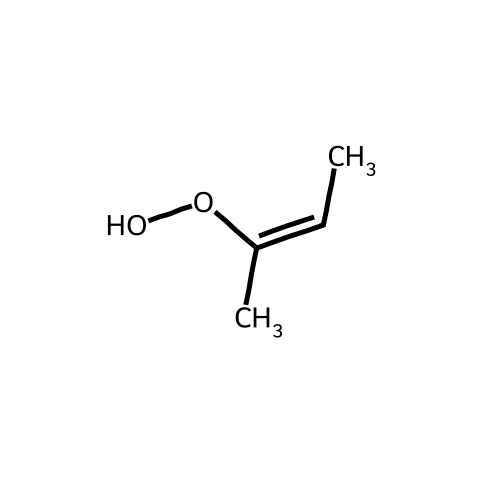 CC=C(C)OO